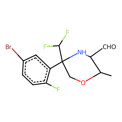 CC1OCC(c2cc(Br)ccc2F)(C(F)F)NC1C=O